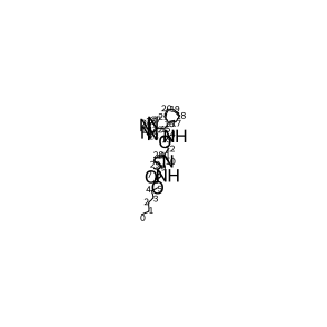 CCCCCOC(=O)Nc1nc(CONC(c2ccccc2)c2nnnn2C)cs1